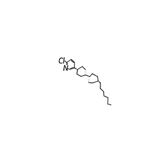 CCCCCCC[C@H]1CC[C@H]([C@H]2CC[C@H](c3ccc(Cl)nc3)CC2)CC1